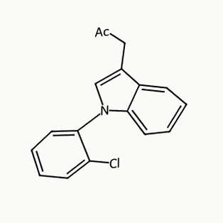 CC(=O)Cc1cn(-c2ccccc2Cl)c2ccccc12